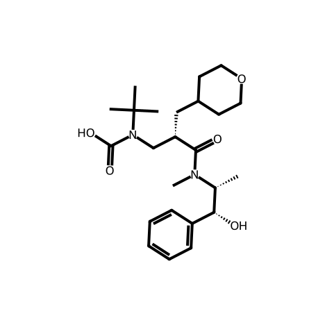 C[C@H]([C@H](O)c1ccccc1)N(C)C(=O)[C@@H](CC1CCOCC1)CN(C(=O)O)C(C)(C)C